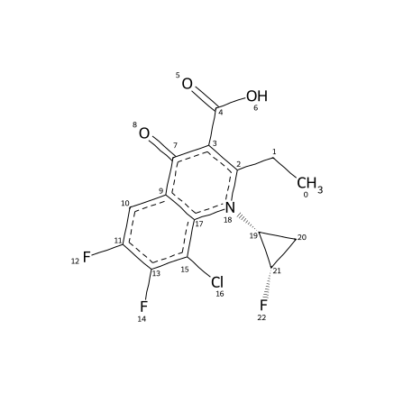 CCc1c(C(=O)O)c(=O)c2cc(F)c(F)c(Cl)c2n1[C@@H]1C[C@@H]1F